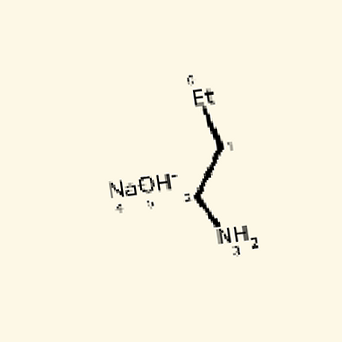 CCCCN.[Na+].[OH-]